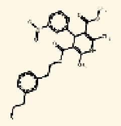 COC(=O)C1=C(C)NC(C)=C(C(=O)OCCc2cccc(CCBr)c2)C1c1cccc([N+](=O)[O-])c1